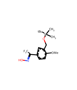 COc1ccc(C(=NO)C(F)(F)F)cc1CO[Si](C)(C)C(C)(C)C